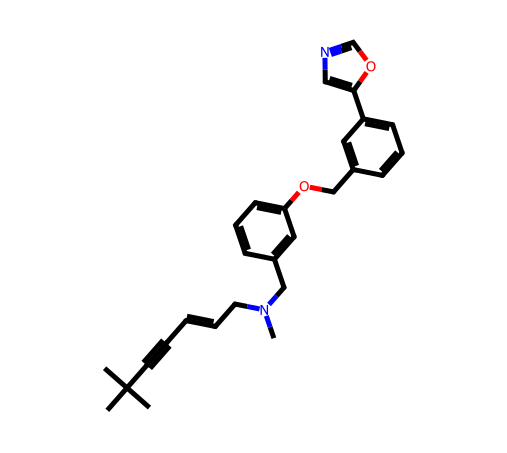 CN(CC=CC#CC(C)(C)C)Cc1cccc(OCc2cccc(-c3cnco3)c2)c1